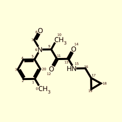 Cc1cccc(N(C=O)C(C)C(=O)C(=O)NCC2CC2)c1